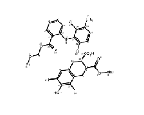 CC(C)(C)OC(=O)N1Cc2c(cc(I)c(O)c2I)C[C@H]1C(=O)O.CCOCOC(=O)c1ccccc1Nc1c(Cl)ccc(C)c1Cl